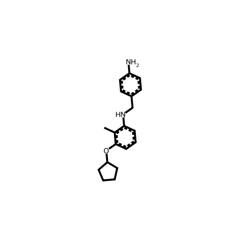 Cc1c(NCc2ccc(N)cc2)cccc1OC1CCCC1